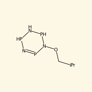 CC(C)COn1pn[pH][nH][pH]1